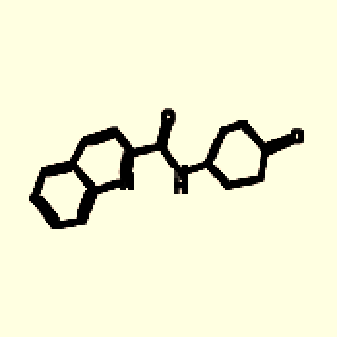 O=C1CCC(NC(=O)c2ccc3ccccc3n2)CC1